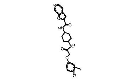 O=C(COc1ccc(Cl)c(F)c1)NC1CCC(NC(=O)c2cc3ccncc3o2)CC1